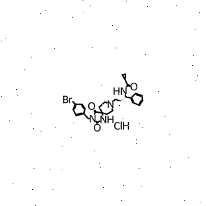 Cl.O=C(N[C@@H](CCN1CCC2(CC1)NC(=O)N(Cc1ccc(Br)cc1)C2=O)c1ccccc1)C1CC1